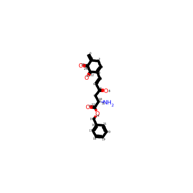 C=C1CC=C(C=CC(=O)C[C@H](N)C(=O)OCc2ccccc2)C(=O)C1=O